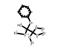 CCOC(O)(Oc1ccccc1)C(OCC)(OCC)OCC